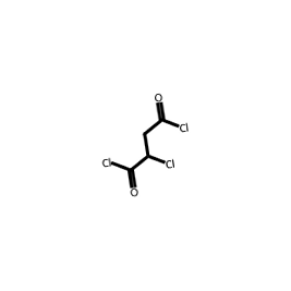 O=C(Cl)CC(Cl)C(=O)Cl